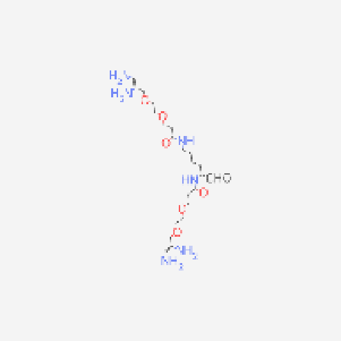 N/C=C(\N)COCCOCCC(=O)NCCCCC(C=O)NC(=O)CCOCCOC/C(N)=C/N